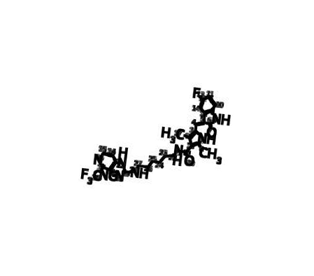 Cc1[nH]c(/C=C2\C(=O)Nc3ccc(F)cc32)c(C)c1C(=O)NCCCCCCN/C(=N/C#N)Nc1ccnc(C(F)(F)F)c1